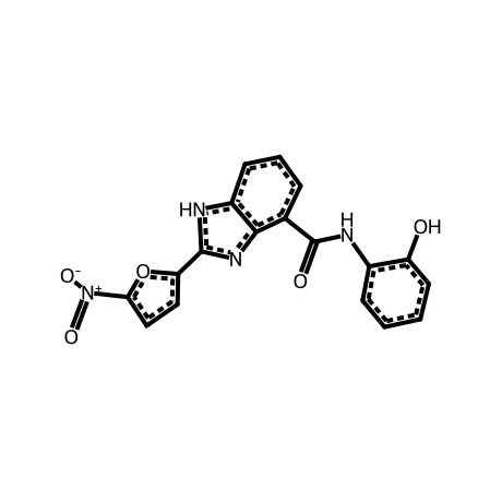 O=C(Nc1ccccc1O)c1cccc2[nH]c(-c3ccc([N+](=O)[O-])o3)nc12